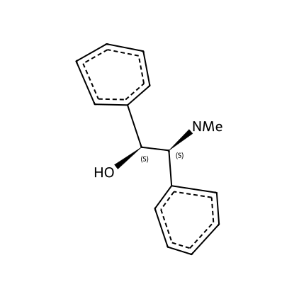 CN[C@@H](c1ccccc1)[C@@H](O)c1ccccc1